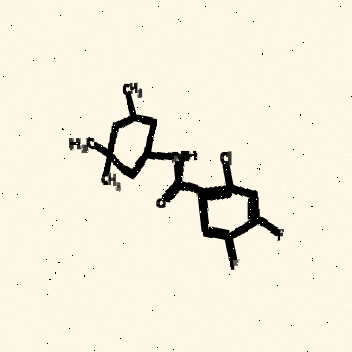 CC1CC(NC(=O)c2cc(F)c(F)cc2Cl)CC(C)(C)C1